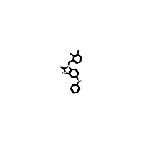 Cc1cccc(Cn2c(=O)[nH]c3cc(Nc4ccccc4)ccc32)c1C